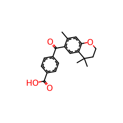 Cc1cc2c(cc1C(=O)c1ccc(C(=O)O)cc1)C(C)(C)CCO2